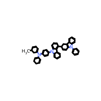 CC1C=CC=C(N(C2=CCCC=C2)c2ccc(-n3c4ccccc4c4c(C5C=Cc6c(c7ccccc7n6-c6ccccc6)C5)cccc43)cc2)C1